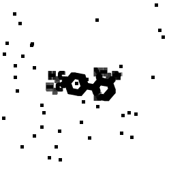 CC1(C)CC=C(c2nccc(Br)c2N)CC1